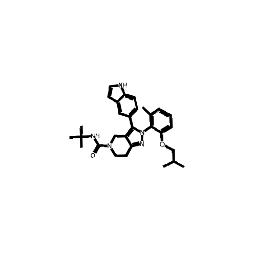 Cc1cccc(OCC(C)C)c1-n1nc2c(c1-c1ccc3[nH]ccc3c1)CN(C(=O)NC(C)(C)C)CC2